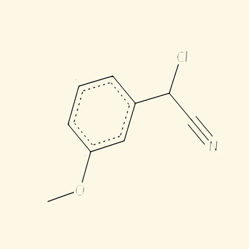 COc1cccc(C(Cl)C#N)c1